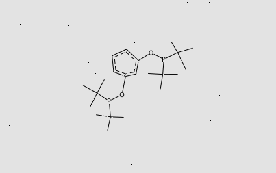 CC(C)(C)P(Oc1cccc(OP(C(C)(C)C)C(C)(C)C)c1)C(C)(C)C